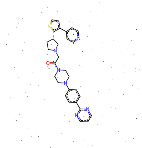 O=C(CN1CC[C@H](c2sccc2-c2ccncc2)C1)N1CCN(c2ccc(-c3ncccn3)cc2)CC1